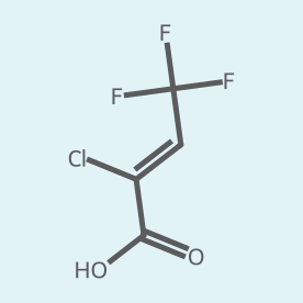 O=C(O)C(Cl)=CC(F)(F)F